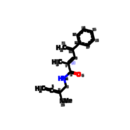 C=C=C(CNC(=O)/C(C)=C/C(=C)c1ccccc1)NC